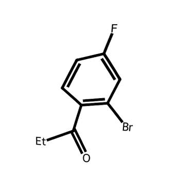 CCC(=O)c1ccc(F)cc1Br